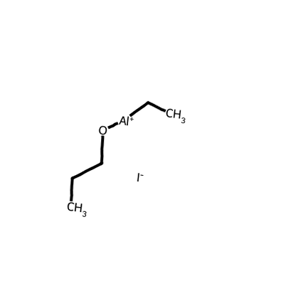 CCC[O][Al+][CH2]C.[I-]